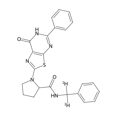 [2H]C([2H])(NC(=O)C1CCCN1c1nc2c(=O)[nH]c(-c3ccccc3)nc2s1)c1ccccc1